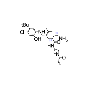 C=CC(=O)N1CC(NC(=O)C(/C=C\N)=C/C(CNc2cc(C(C)(C)C)c(Cl)cc2O)=C(C)C)C1